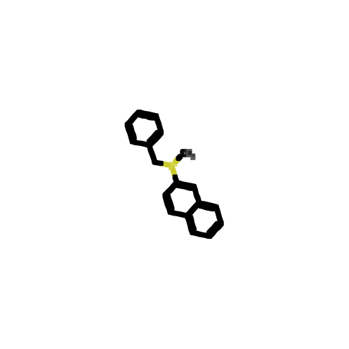 C[S+](Cc1ccccc1)c1ccc2ccccc2c1